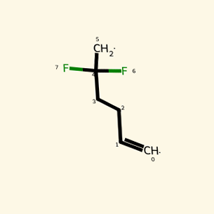 [CH]=CCCC([CH2])(F)F